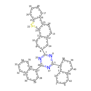 c1ccc2c(-c3nc(-c4ccc5c(ccc6c7ccccc7sc56)c4)nc(-c4cccc5ccccc45)n3)cccc2c1